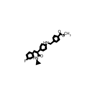 COC(=O)c1ccc(CNc2ccc(C(=Cc3ccc(F)cc3)C(=O)NC3CC3)cc2)cc1